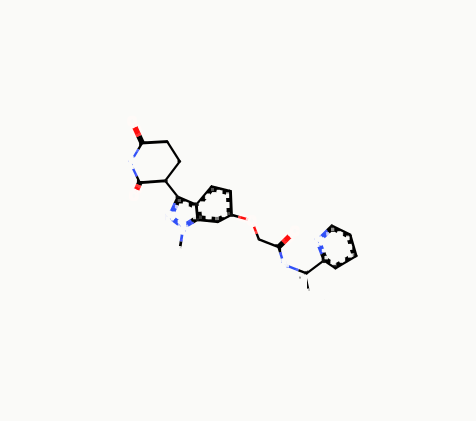 C[C@@H](NC(=O)COc1ccc2c(C3CCC(=O)NC3=O)nn(C)c2c1)c1ccccn1